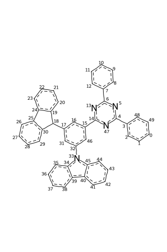 c1ccc(-c2nc(-c3ccccc3)nc(-c3cc(C4c5ccccc5-c5ccccc54)cc(-n4c5ccccc5c5ccccc54)c3)n2)cc1